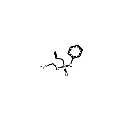 C=CCP(=O)(OCN)Oc1ccccc1